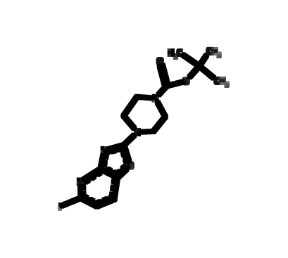 CC(C)(C)OC(=O)N1CCN(c2nc3nc(I)ccc3o2)CC1